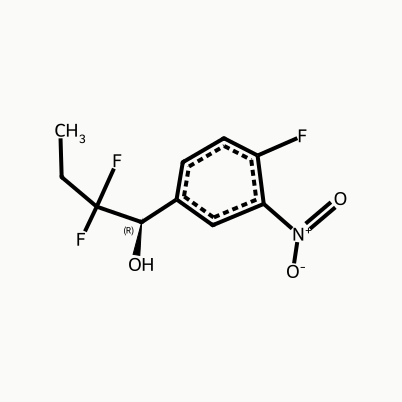 CCC(F)(F)[C@H](O)c1ccc(F)c([N+](=O)[O-])c1